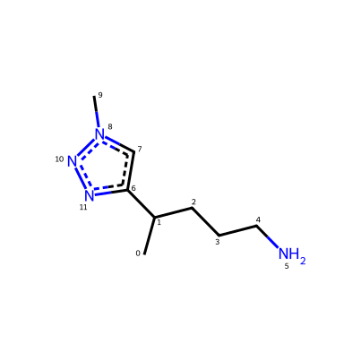 CC(CCCN)c1cn(C)nn1